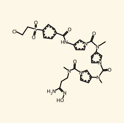 CN(CCC(N)=NO)C(=O)n1ccc(N(C)C(=O)n2ccc(N(C)C(=O)n3ccc(NC(=O)c4ccc(S(=O)(=O)CCCl)cc4)c3)c2)c1